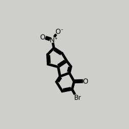 O=C1C(Br)=CC=C2C1=Cc1cc([N+](=O)[O-])ccc12